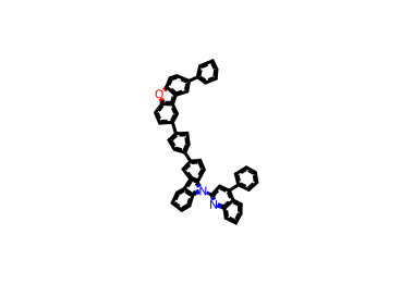 c1ccc(-c2ccc3oc4ccc(-c5ccc(-c6ccc7c(c6)c6ccccc6n7-c6cc(-c7ccccc7)c7ccccc7n6)cc5)cc4c3c2)cc1